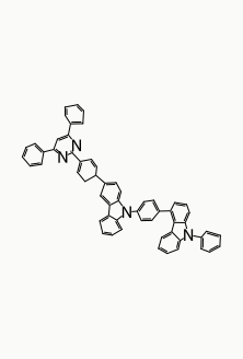 C1=CC(c2ccc3c(c2)c2ccccc2n3-c2ccc(-c3cccc4c3c3ccccc3n4-c3ccccc3)cc2)CC=C1c1nc(-c2ccccc2)cc(-c2ccccc2)n1